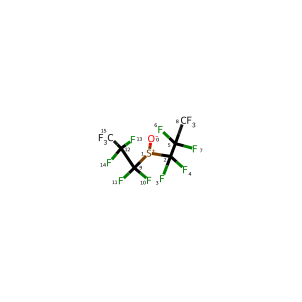 [O-][S+](C(F)(F)C(F)(F)C(F)(F)F)C(F)(F)C(F)(F)C(F)(F)F